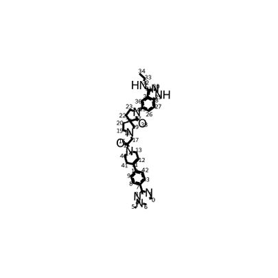 C=N/C(=N\N(C)C)c1ccc(C2=CCN(C(=O)CN3CC[C@]4(CCN(c5ccc6[nH]nc(NCC)c6c5)C4=O)C3)CC2)cc1